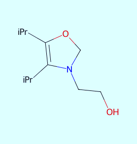 CC(C)C1=C(C(C)C)N(CCO)CO1